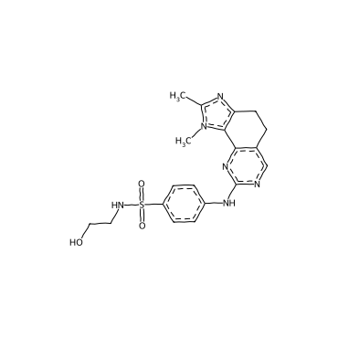 Cc1nc2c(n1C)-c1nc(Nc3ccc(S(=O)(=O)NCCO)cc3)ncc1CC2